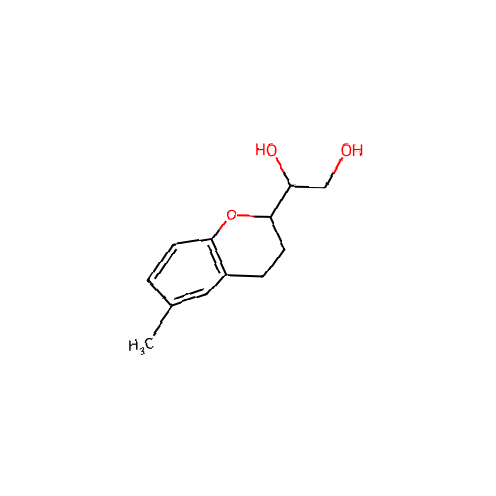 Cc1ccc2c(c1)CCC(C(O)CO)O2